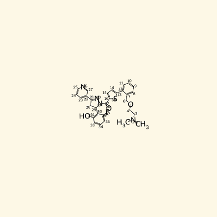 CN(C)CCOCc1ccccc1-c1ccc(C(=O)N2N=C(c3cccnc3)CC2c2c(O)cccc2F)s1